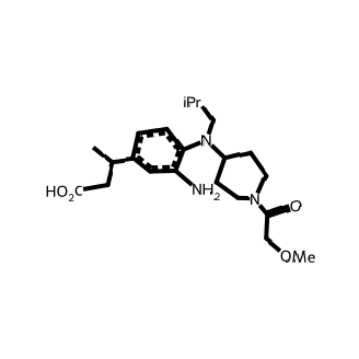 COCC(=O)N1CCC(N(CC(C)C)c2ccc(C(C)CC(=O)O)cc2N)CC1